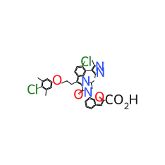 Cc1cc(OCCCc2c3n(c4c(-c5c(C)nn(C)c5C)c(Cl)ccc24)C(C)CN(c2cccc4cc(C(=O)O)oc24)C3=O)cc(C)c1Cl